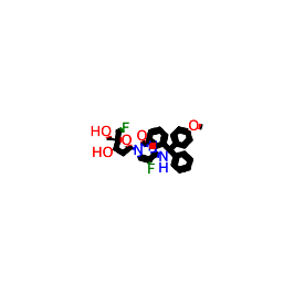 COc1ccc(C(Nc2nc(=O)n([C@H]3C[C@H](O)[C@](CO)(CF)O3)cc2F)(c2ccccc2)c2ccccc2)cc1